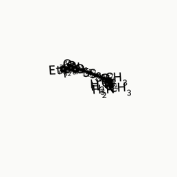 CCc1ccc(-c2cc3ccc(OCCSCCSCCSCCOC(=O)C4(C)CC4(N)CC(C)(C)N)nc3oc2=O)c(F)c1